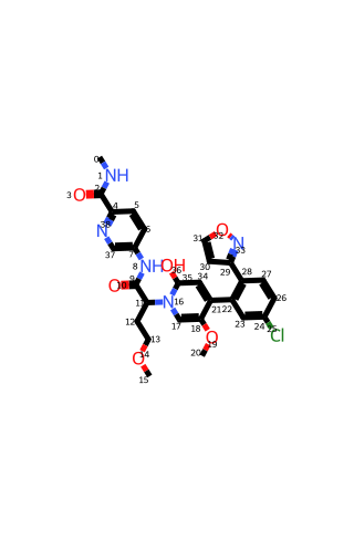 CNC(=O)c1ccc(NC(=O)C(CCOC)N2C=C(OC)C(c3cc(Cl)ccc3-c3ccon3)=CC2O)cn1